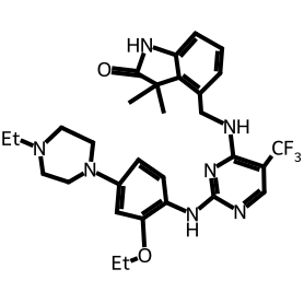 CCOc1cc(N2CCN(CC)CC2)ccc1Nc1ncc(C(F)(F)F)c(NCc2cccc3c2C(C)(C)C(=O)N3)n1